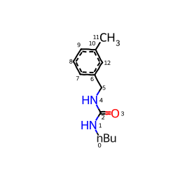 CCCCNC(=O)NCc1cccc(C)c1